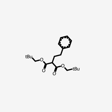 CC(C)(C)COC(=O)C(CCc1ccccc1)C(=O)OCC(C)(C)C